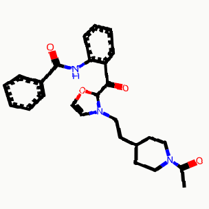 CC(=O)N1CCC(CCN2C=COC2C(=O)c2ccccc2NC(=O)c2ccccc2)CC1